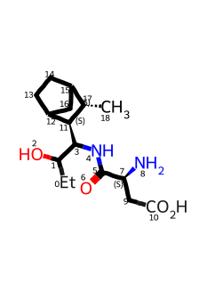 CCC(O)C(NC(=O)[C@@H](N)CC(=O)O)[C@H]1C2CCC(C2)[C@@H]1C